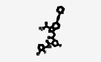 NC(=O)c1nn(CC(=O)N2C[C@H](F)C[C@H]2C(=O)Nc2cccc(Cl)c2F)c2ccc(C#Cc3ncccn3)cc12